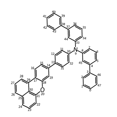 c1ccc(-c2cccc(N(c3ccc(-c4ccc5c(c4)Oc4cccc6cccc-5c46)cc3)c3cccc(-c4ccccc4)c3)c2)cc1